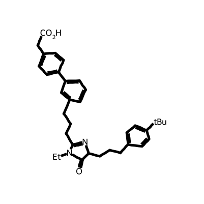 CCN1C(=O)C(CCCc2ccc(C(C)(C)C)cc2)N=C1CCCc1cccc(-c2ccc(CC(=O)O)cc2)c1